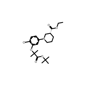 CCOC(=O)[C@@H]1CCCN(c2ccc(Cl)c(OC(C)(C)C(=O)OC(C)(C)C)c2)C1